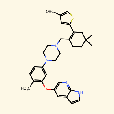 CC1(C)CCC(CN2CCN(c3ccc(C(=O)O)c(Oc4cnc5[nH]ccc5c4)c3)CC2)=C(c2cc(C=O)cs2)C1